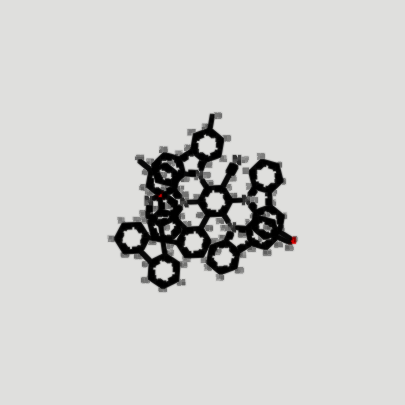 Cc1ccc2c(c1)c1ccccc1n2-c1c(C#N)c(-n2c3ccccc3c3cc(C)ccc32)c(-n2c3ccccc3c3cc(C)ccc32)c(-c2cccc3c2-c2ccncc2C32c3ccccc3-c3ccccc32)c1-n1c2ccccc2c2cc(C)ccc21